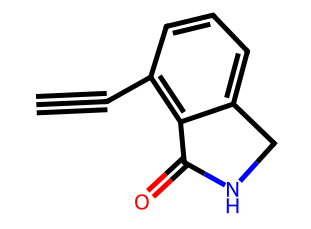 C#Cc1cccc2c1C(=O)NC2